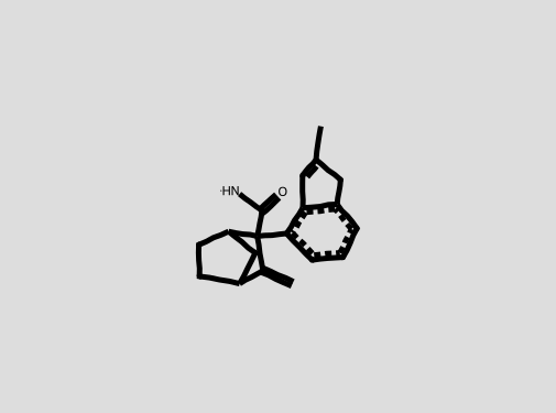 C=C1C2CCC(C2)C1(C([NH])=O)c1cccc2c1C=C(C)C2